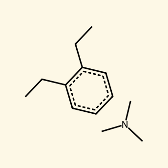 CCc1ccccc1CC.CN(C)C